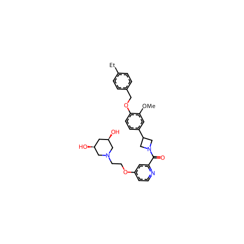 CCc1ccc(COc2ccc(C3CN(C(=O)c4cc(OCCN5C[C@H](O)C[C@H](O)C5)ccn4)C3)cc2OC)cc1